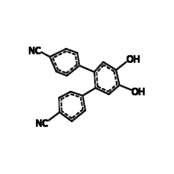 N#Cc1ccc(-c2cc(O)c(O)cc2-c2ccc(C#N)cc2)cc1